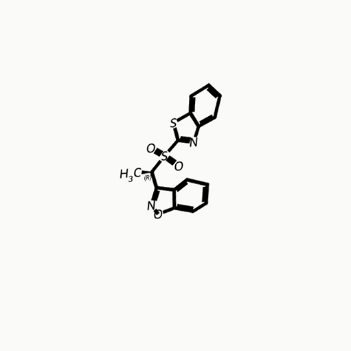 C[C@H](c1noc2ccccc12)S(=O)(=O)c1nc2ccccc2s1